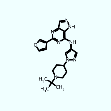 CC(C)(C)N1CCC(n2cc(Nc3nc(-c4ccoc4)nc4cn[nH]c34)cn2)CC1